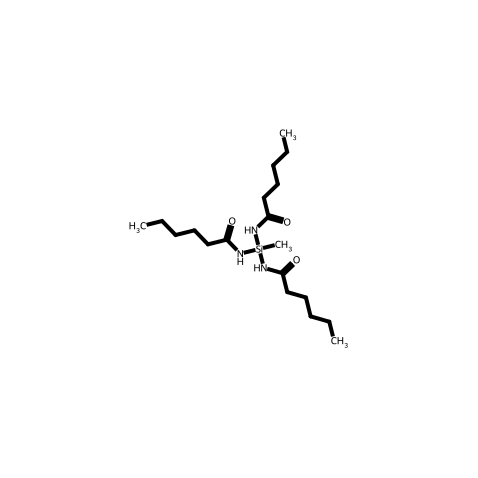 CCCCCC(=O)N[Si](C)(NC(=O)CCCCC)NC(=O)CCCCC